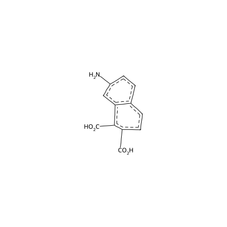 Nc1ccc2ccc(C(=O)O)c(C(=O)O)c2c1